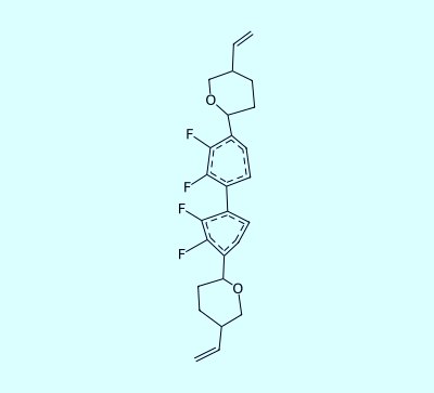 C=CC1CCC(c2ccc(-c3ccc(C4CCC(C=C)CO4)c(F)c3F)c(F)c2F)OC1